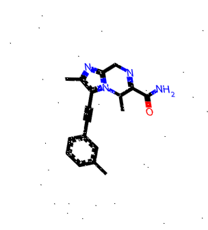 Cc1cccc(C#Cc2c(C)nc3n2C(C)C(C(N)=O)=NC3)c1